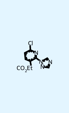 CCOC(=O)c1ccc(Cl)nc1-n1cncn1